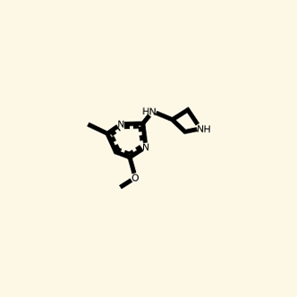 COc1cc(C)nc(NC2CNC2)n1